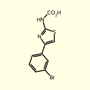 O=C(O)Nc1nc(-c2cccc(Br)c2)cs1